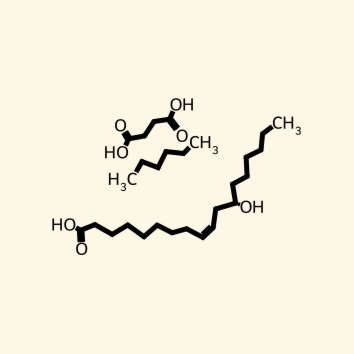 CCCCCC.CCCCCC[C@@H](O)C/C=C\CCCCCCCC(=O)O.O=C(O)CCC(=O)O